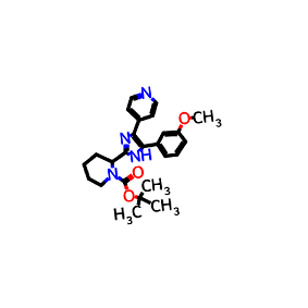 COc1cccc(-c2[nH]c(C3CCCCN3C(=O)OC(C)(C)C)nc2-c2ccncc2)c1